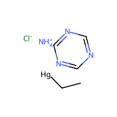 C[CH2][Hg].[Cl-].[NH4+].c1ncncn1